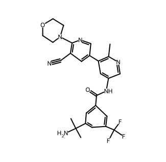 Cc1ncc(NC(=O)c2cc(C(C)(C)N)cc(C(F)(F)F)c2)cc1-c1cnc(N2CCOCC2)c(C#N)c1